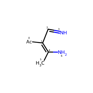 CC(=O)/C(C=N)=C(\C)N